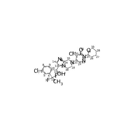 CC(F)(F)c1cc(Cl)ccc1C(O)c1cnc2n1CCN(c1cnn(C3CCCCO3)c(=O)c1Cl)C2